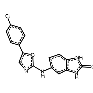 O=c1[nH]c2ccc(Nc3ncc(-c4ccc(Cl)cc4)o3)cc2[nH]1